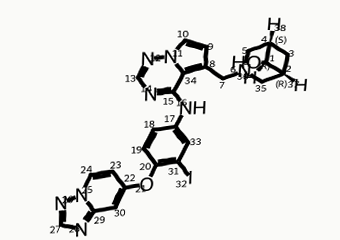 O[C@H]1[C@@H]2C[C@H]1CN(Cc1ccn3ncnc(Nc4ccc(Oc5ccn6ncnc6c5)c(I)c4)c13)C2